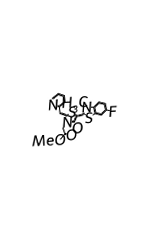 COC(=O)Cn1c(=O)/c(=C2\Sc3cc(F)ccc3N2C)s/c1=C\c1ccccn1